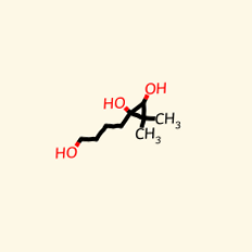 CC1(C)C(O)C1(O)CCCCO